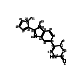 CC1SC(=O)NN=C1c1ccc2c(c1)nc(-c1cccn1C)n2C